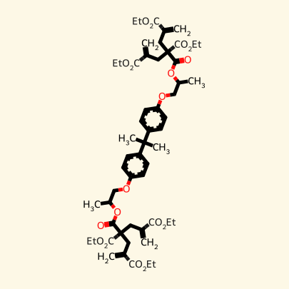 C=C(CC(CC(=C)C(=O)OCC)(C(=O)OCC)C(=O)OC(C)COc1ccc(C(C)(C)c2ccc(OCC(C)OC(=O)C(CC(=C)C(=O)OCC)(CC(=C)C(=O)OCC)C(=O)OCC)cc2)cc1)C(=O)OCC